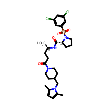 Cc1ccc(C)n1CC1CCN(C(=O)CC[C@H](NC(=O)[C@H]2CCCN2S(=O)(=O)c2cc(Cl)cc(Cl)c2)C(=O)O)CC1